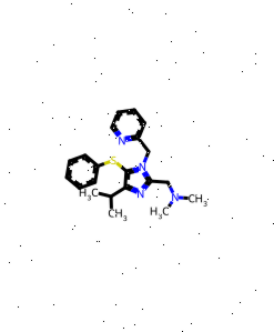 CC(C)c1nc(CN(C)C)n(Cc2ccccn2)c1Sc1ccccc1